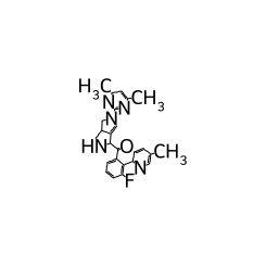 Cc1ccc(-c2c(F)cccc2C(=O)C2NCC3CN(c4nc(C)cc(C)n4)C=C32)nc1